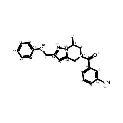 CC1CN(C(=O)c2cccc(C#N)c2)Cc2cc(COc3ccccc3)nn21